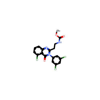 CC(C)(C)OC(=O)NCCc1nc2cccc(Cl)c2c(=O)n1-c1cc(Cl)cc(Cl)c1